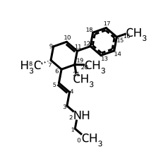 CCNCC=CC1[C@H](C)CC=C(c2ccc(C)cc2)C1(C)C